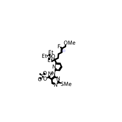 CC[Si](CC)(CC)OC(C)(CC/C=C(\F)COC)c1cccc(-n2nc(OS(C)(=O)=O)c3cnc(SC)nc32)n1